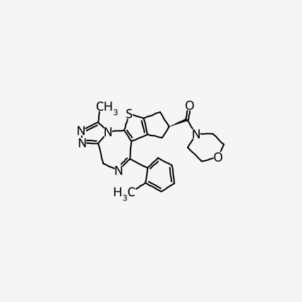 Cc1ccccc1C1=NCc2nnc(C)n2-c2sc3c(c21)C[C@H](C(=O)N1CCOCC1)C3